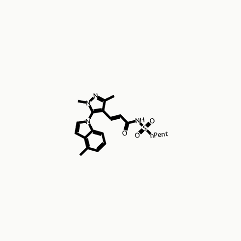 CCCCCS(=O)(=O)NC(=O)/C=C/c1c(C)nn(C)c1-n1ccc2c(C)cccc21